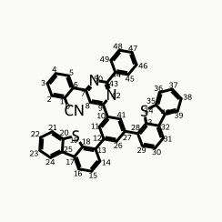 N#Cc1ccccc1-c1cc(-c2cc(-c3cccc4c3sc3ccccc34)cc(-c3cccc4c3sc3ccccc34)c2)nc(-c2ccccc2)n1